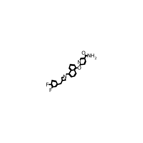 NC(=O)c1ccc(Oc2cccc3c(CN4CC(Cc5ccc(F)c(F)c5)C4)cccc23)nc1